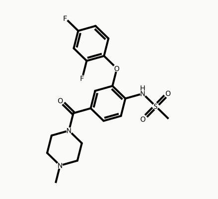 CN1CCN(C(=O)c2ccc(NS(C)(=O)=O)c(Oc3ccc(F)cc3F)c2)CC1